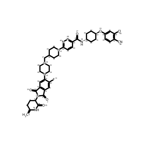 C=C1CCC(N2C(=O)c3cc(F)c(N4CCN(CC5CCN(c6ccc(C(=O)N[C@H]7CC[C@H](Oc8ccc(C#N)c(Cl)c8)CC7)nn6)CC5)CC4)cc3C2=O)C(=O)N1